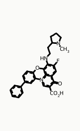 CN1CCCC1CCNc1c(F)cc2c(=O)c(C(=O)O)cn3c2c1Oc1ccc(-c2ccccc2)cc1-3